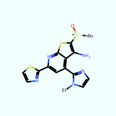 CCCC[S@+]([O-])c1sc2nc(-c3nccs3)cc(-c3nccn3CC)c2c1N